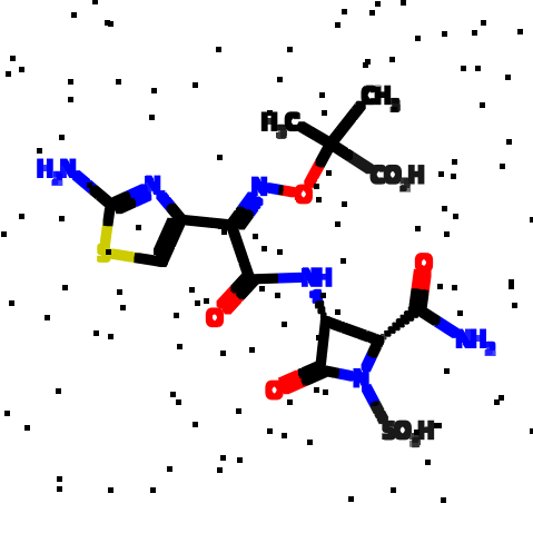 CC(C)(ON=C(C(=O)N[C@H]1C(=O)N(S(=O)(=O)O)[C@H]1C(N)=O)c1csc(N)n1)C(=O)O